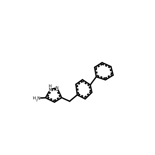 Nc1cc(Cc2ccc(-c3ccccc3)cc2)n[nH]1